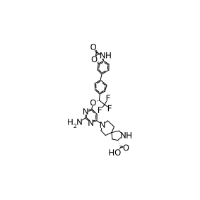 Nc1nc(O[C@H](c2ccc(-c3ccc4[nH]c(=O)oc4c3)cc2)C(F)(F)F)cc(N2CCC3(CC2)CN[C@H](C(=O)O)C3)n1